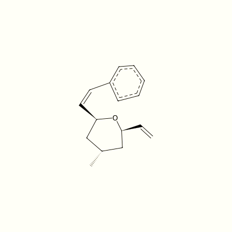 C=C[C@H]1C[C@H](C)C[C@@H](/C=C\c2ccccc2)O1